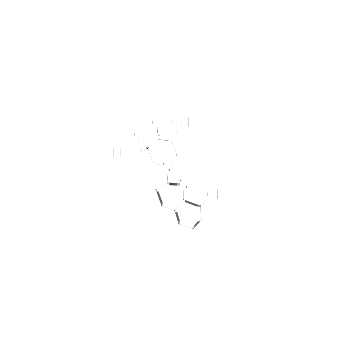 Cc1cccc2ccc(N3CC[C@H](C(=O)O)C(C)(C)C3)nc12